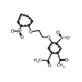 CC(=O)c1cc(OCCOc2ccccc2[N+](=O)[O-])c([N+](=O)[O-])cc1C(C)=O